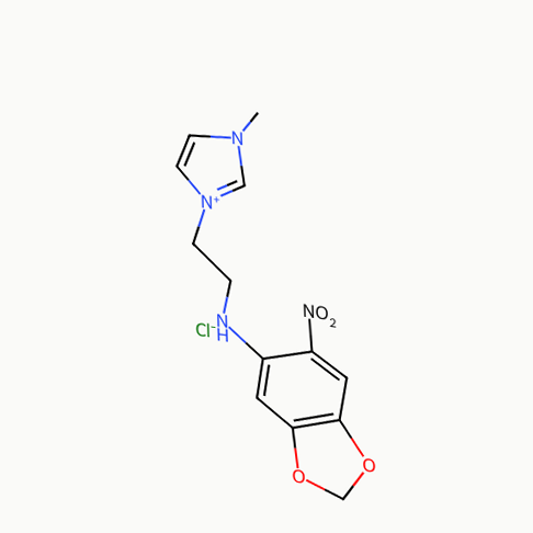 Cn1cc[n+](CCNc2cc3c(cc2[N+](=O)[O-])OCO3)c1.[Cl-]